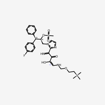 C[Si](C)(C)CCOCN/C=C(/O)C(=O)C(=N)c1nccn1C[C@H](OS(C)(=O)=O)[C@H](c1ccccc1)c1ccc(F)cc1